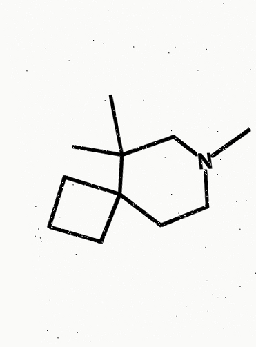 CN1CCC2(CCC2)C(C)(C)C1